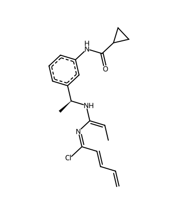 C=C/C=C/C(Cl)=N\C(=C/C)N[C@@H](C)c1cccc(NC(=O)C2CC2)c1